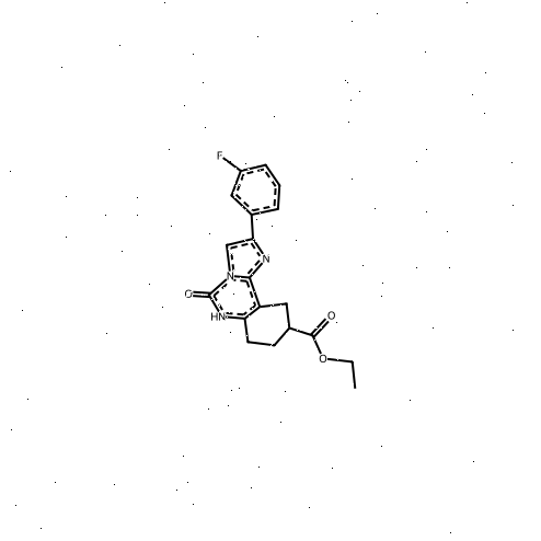 CCOC(=O)C1CCc2[nH]c(=O)n3cc(-c4cccc(F)c4)nc3c2C1